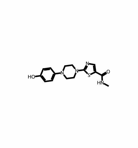 CNC(=O)c1cnc(N2CCN(c3ccc(O)cc3)CC2)s1